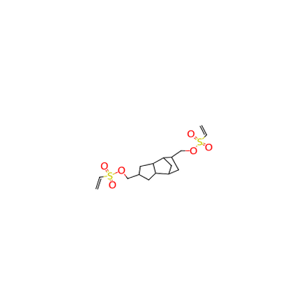 C=CS(=O)(=O)OCC1CC2C3CC(COS(=O)(=O)C=C)C(C3)C2C1